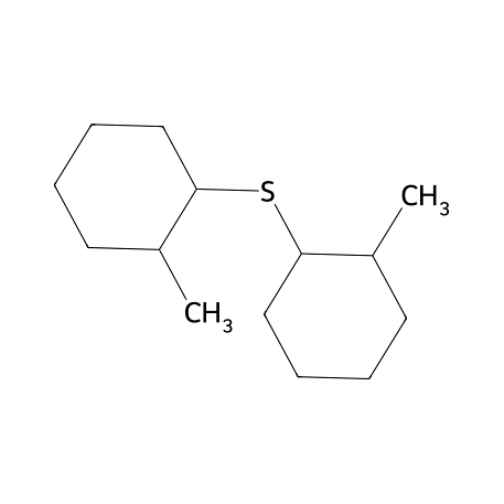 CC1CCCCC1SC1CCCCC1C